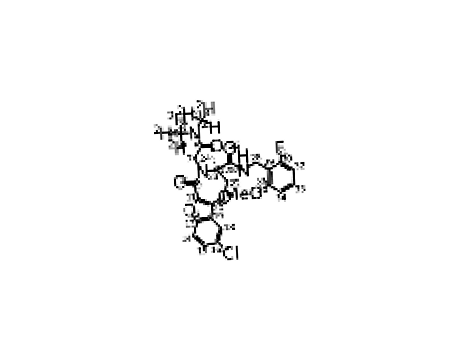 [2H]C([2H])([2H])N(C(=O)CN1C(=O)c2oc3ccc(Cl)cc3c2OC[C@]1(C)C(=O)NCc1c(F)cccc1OC)C([2H])([2H])[2H]